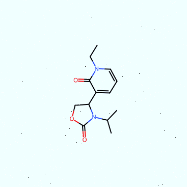 CCn1cccc(C2COC(=O)N2C(C)C)c1=O